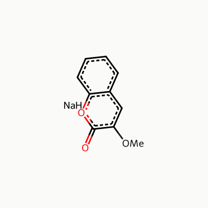 COc1cc2ccccc2oc1=O.[NaH]